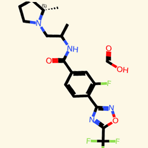 CC(CN1CCC[C@@H]1C)NC(=O)c1ccc(-c2noc(C(F)(F)F)n2)c(F)c1.O=CO